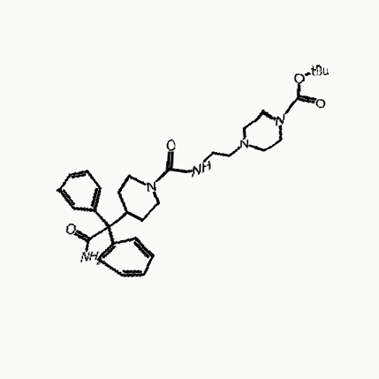 CC(C)(C)OC(=O)N1CCN(CCNC(=O)N2CCC(C(C(N)=O)(c3ccccc3)c3ccccc3)CC2)CC1